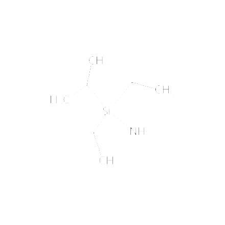 CC[Si]([NH])(CC)C(C)C